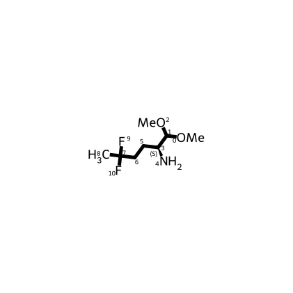 COC(OC)[C@@H](N)CCC(C)(F)F